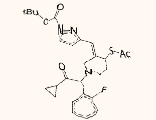 CC(=O)SC1CCN(C(C(=O)C2CC2)c2ccccc2F)CC1=Cc1ccn(C(=O)OC(C)(C)C)n1